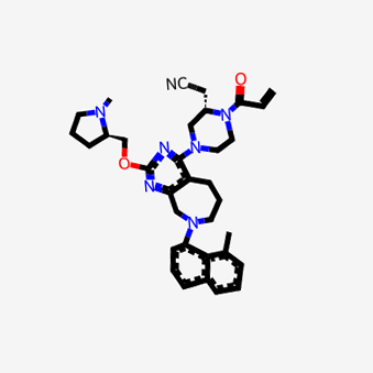 C=CC(=O)N1CCN(c2nc(OC[C@H]3CCCN3C)nc3c2CCCN(c2cccc4cccc(C)c24)C3)C[C@@H]1CC#N